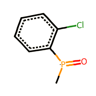 C[P](=O)c1ccccc1Cl